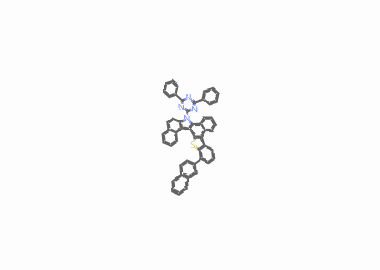 c1ccc(-c2nc(-c3ccccc3)nc(-n3c4ccc5ccccc5c4c4c5sc6c(-c7ccc8ccccc8c7)cccc6c5c5ccccc5c43)n2)cc1